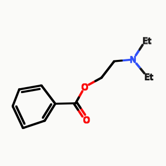 CCN(CC)CCOC(=O)c1ccccc1